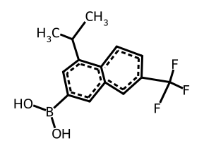 CC(C)c1cc(B(O)O)cc2cc(C(F)(F)F)ccc12